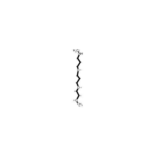 CNCCCOCCCOCCOC